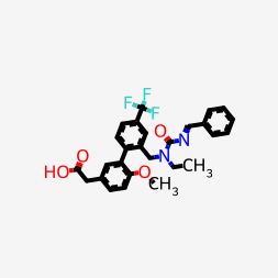 CCN(Cc1cc(C(F)(F)F)ccc1-c1cc(CC(=O)O)ccc1OC)C(=O)N=Cc1ccccc1